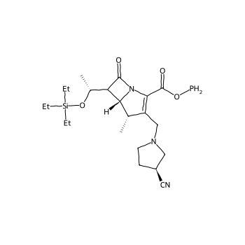 CC[Si](CC)(CC)O[C@H](C)C1C(=O)N2C(C(=O)OP)=C(CN3CC[C@H](C#N)C3)[C@H](C)[C@H]12